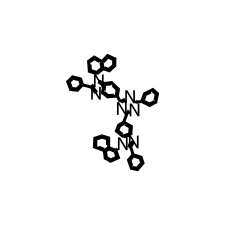 c1ccc(-c2nc(-c3ccc4c(c3)nc(-c3ccccc3)n4-c3cccc4ccccc34)nc(-c3ccc4c(c3)nc(-c3ccccc3)n4-c3cccc4ccccc34)n2)cc1